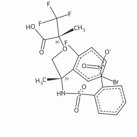 C[C@](CO[C@](C)(C(=O)O)C(F)(F)F)(NS(=O)(=O)c1ccccc1[N+](=O)[O-])c1cc(Br)ccc1F